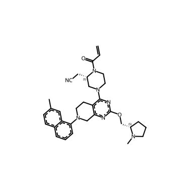 C=CC(=O)N1CCN(c2nc(OC[C@@H]3CCCN3C)nc3c2CCN(c2cccc4ccc(C)cc24)C3)C[C@@H]1CC#N